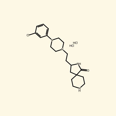 Cl.Cl.O=C1NC(CCN2CCN(c3cccc(Cl)c3)CC2)CC12CCNCC2